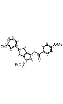 CCOC(=O)n1nc(NC(=O)c2ccc(OC)cc2)c2c1CN(c1ccnc(Cl)n1)C2